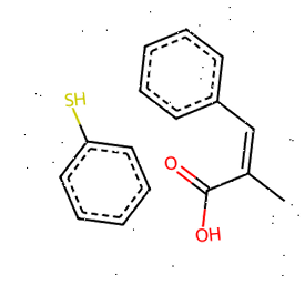 CC(=Cc1ccccc1)C(=O)O.Sc1ccccc1